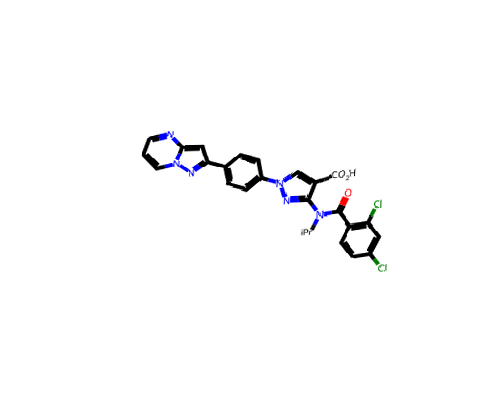 CC(C)N(C(=O)c1ccc(Cl)cc1Cl)c1nn(-c2ccc(-c3cc4ncccn4n3)cc2)cc1C(=O)O